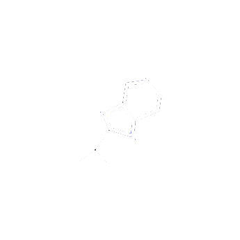 CC(C)(C)c1nc2ccncc2[nH]1